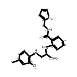 Cc1ccc(NCC(C=O)Nc2ccccc2C(=O)NCc2ccco2)c(Cl)c1